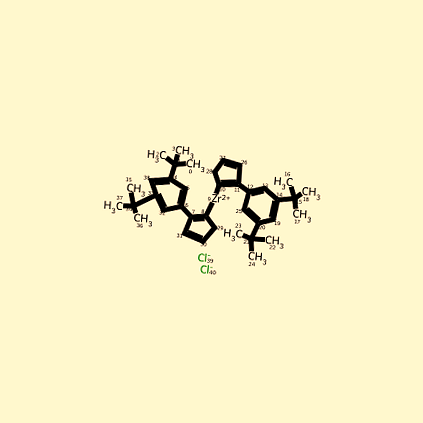 CC(C)(C)c1cc(C2=[C]([Zr+2][C]3=C(c4cc(C(C)(C)C)cc(C(C)(C)C)c4)C=CC3)CC=C2)cc(C(C)(C)C)c1.[Cl-].[Cl-]